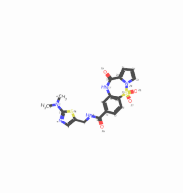 CN(C)c1ncc(CNC(=O)c2ccc3c(c2)NC(=O)c2cccn2S3(=O)=O)s1